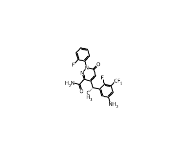 C[C@H](c1cc(=O)n(-c2ccccc2F)nc1C(N)=O)c1cc(N)cc(C(F)(F)F)c1F